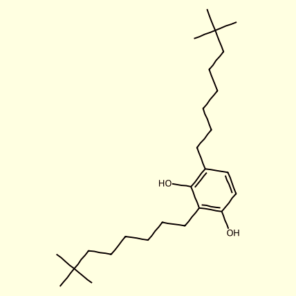 CC(C)(C)CCCCCCc1ccc(O)c(CCCCCCC(C)(C)C)c1O